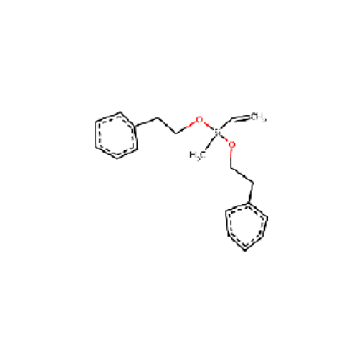 C=C[Si](C)(OCCc1ccccc1)OCCc1ccccc1